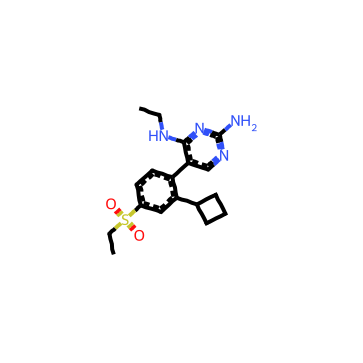 CCNc1nc(N)ncc1-c1ccc(S(=O)(=O)CC)cc1C1CCC1